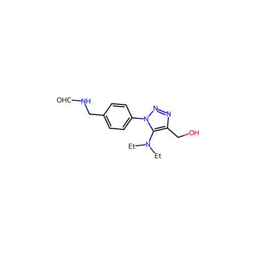 CCN(CC)c1c(CO)nnn1-c1ccc(CNC=O)cc1